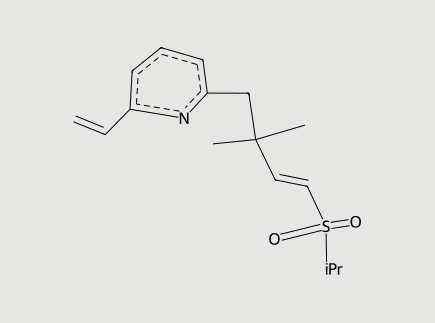 C=Cc1cccc(CC(C)(C)/C=C/S(=O)(=O)C(C)C)n1